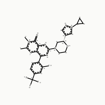 Cc1nc2c(-c3ccc(C(F)(F)F)cc3F)nc(N3CCO[C@@H](c4cnn(C5CC5)c4)C3)nc2c(=O)n1C